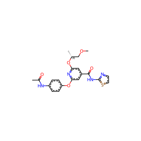 COC[C@@H](C)Oc1cc(C(=O)Nc2nccs2)cc(Oc2ccc(NC(C)=O)cc2)n1